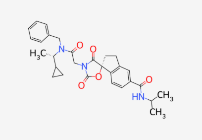 CC(C)NC(=O)c1ccc2c(c1)CC[C@@]21OC(=O)N(CC(=O)N(Cc2ccccc2)[C@@H](C)C2CC2)C1=O